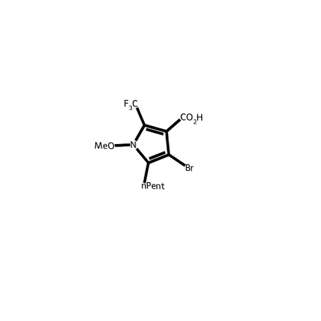 CCCCCc1c(Br)c(C(=O)O)c(C(F)(F)F)n1OC